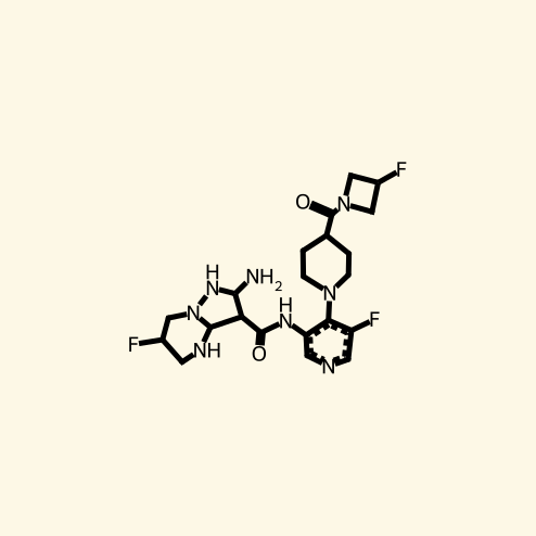 NC1NN2CC(F)CNC2C1C(=O)Nc1cncc(F)c1N1CCC(C(=O)N2CC(F)C2)CC1